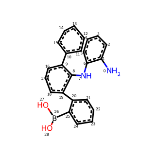 Nc1ccccc1Nc1c(-c2ccccc2)cccc1-c1ccccc1B(O)O